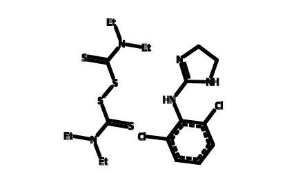 CCN(CC)C(=S)SSC(=S)N(CC)CC.Clc1cccc(Cl)c1NC1=NCCN1